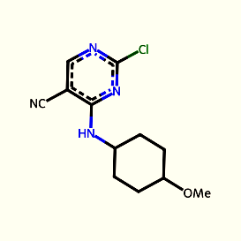 COC1CCC(Nc2nc(Cl)ncc2C#N)CC1